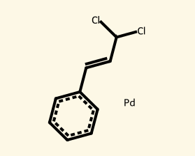 Cl[C](Cl)/C=C/c1ccccc1.[Pd]